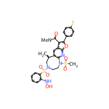 C=C1CN(S(=O)(=O)c2ccccc2NO)CCN(S(C)(=O)=O)c2nc3oc(-c4ccc(F)cc4)c(C(=O)NC)c3cc21